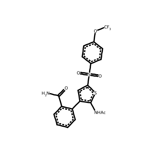 CC(=O)Nc1sc(S(=O)(=O)c2ccc(OC(F)(F)F)cc2)cc1-c1ccccc1C(N)=O